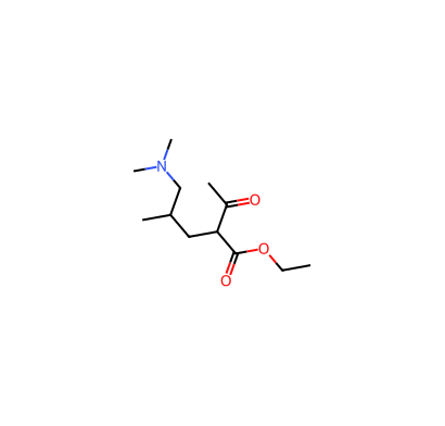 CCOC(=O)C(CC(C)CN(C)C)C(C)=O